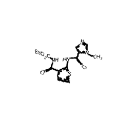 CCOC(=O)NC(=O)c1ccsc1NC(=O)c1cncn1C